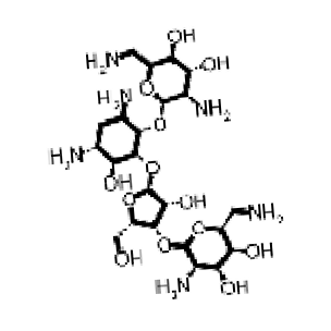 NCC1O[C@H](O[C@H]2C(N)C[C@@H](N)[C@H](O)[C@H]2O[C@@H]2O[C@@H](CO)[C@@H](OC3O[C@@H](CN)[C@@H](O)[C@@H](O)[C@H]3N)[C@H]2O)[C@H](N)[C@@H](O)[C@@H]1O